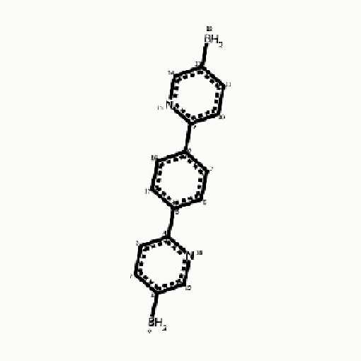 Bc1ccc(-c2ccc(-c3ccc(B)cn3)cc2)nc1